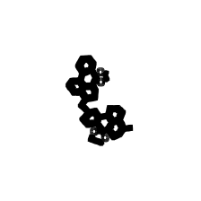 COC1(OC)c2ccccc2-c2cccc3c(Cc4ccc5c(c4)-c4cccc6c(C)ccc(c46)C54OCCO4)ccc1c23